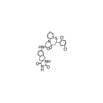 O=C(CN1C(=O)CC(c2cc(Cl)ccc2Cl)Sc2ccccc21)Nc1ccc2c(c1)CC1(C2)NC(=O)NC1=O